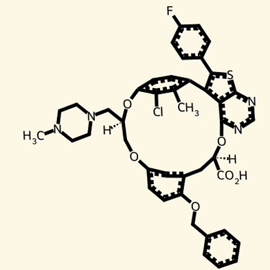 Cc1c2ccc(c1Cl)O[C@H](CN1CCN(C)CC1)COc1ccc(OCc3ccccc3)c(c1)C[C@H](C(=O)O)Oc1ncnc3sc(-c4ccc(F)cc4)c-2c13